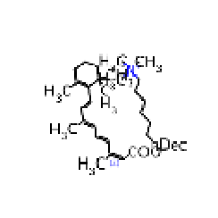 CC(C=CC1=C(C)CCCC1(C)C)=CC=C/C(C)=C\C(=O)[O-].CCCCCCCCCCCCCCCC[N+](C)(C)C